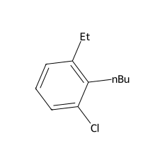 [CH2]CCCc1c(Cl)cccc1CC